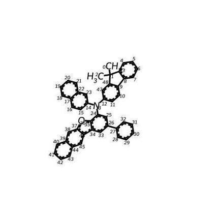 CC1(C)c2ccccc2-c2ccc(N(c3ccc4ccccc4c3)c3cc(-c4ccccc4)cc4c3oc3cc5ccccc5cc34)cc21